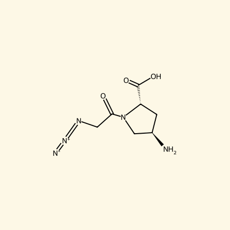 [N-]=[N+]=NCC(=O)N1C[C@H](N)C[C@H]1C(=O)O